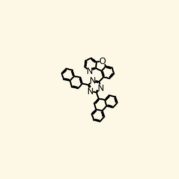 c1ccc2cc(-c3nc(-c4cc5ccccc5c5ccccc45)nc(-c4cccc5oc6cccnc6c45)n3)ccc2c1